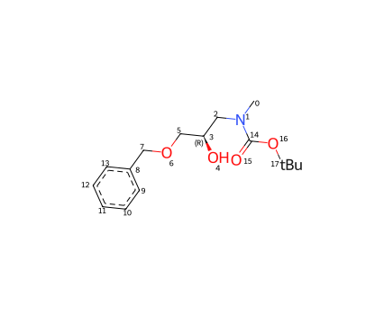 CN(C[C@@H](O)COCc1ccccc1)C(=O)OC(C)(C)C